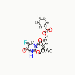 CC(=O)O[C@H]1C[C@H](COC(=O)c2ccccc2)O[C@@H]1n1cc(F)c(=O)[nH]c1=O